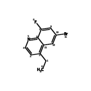 CCc1ccnc2c(F)cc(Br)cc12